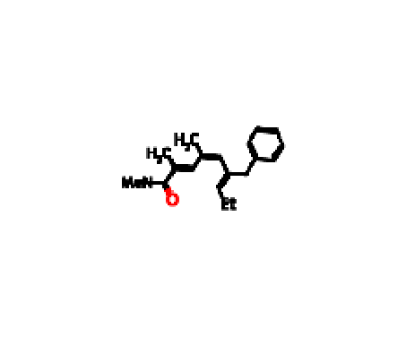 CC/C=C(/C=C(C)\C=C(/C)C(=O)NC)Cc1ccccc1